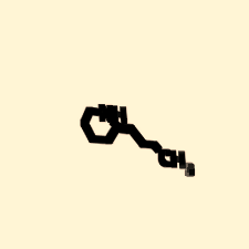 CCCC=C1CCCCN1